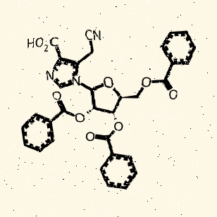 N#CCc1c(C(=O)O)ncn1C1O[C@@H](COC(=O)c2ccccc2)[C@H](OC(=O)c2ccccc2)[C@@H]1OC(=O)c1ccccc1